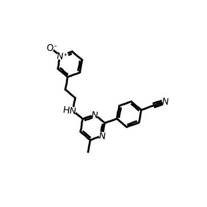 Cc1cc(NCCc2ccc[n+]([O-])c2)nc(-c2ccc(C#N)cc2)n1